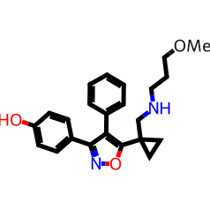 COCCCNCC1(c2onc(-c3ccc(O)cc3)c2-c2ccccc2)CC1